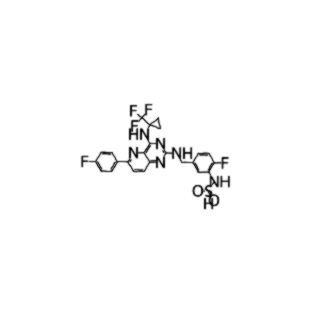 O=[SH](=O)Nc1cc(CNc2nc(NC3(C(F)(F)F)CC3)c3nc(-c4ccc(F)cc4)ccc3n2)ccc1F